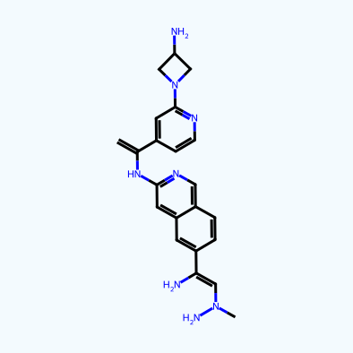 C=C(Nc1cc2cc(/C(N)=C/N(C)N)ccc2cn1)c1ccnc(N2CC(N)C2)c1